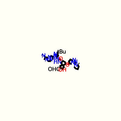 C[C@H]1CCCCN1c1nnc2ccc(O[C@@H]3CC[C@H](NC(=O)Nc4cc(C(C)(C)C)nn4-c4cnn(CCN5CC(N(C)C)C5)c4)c4ccccc43)cn12.O=CO